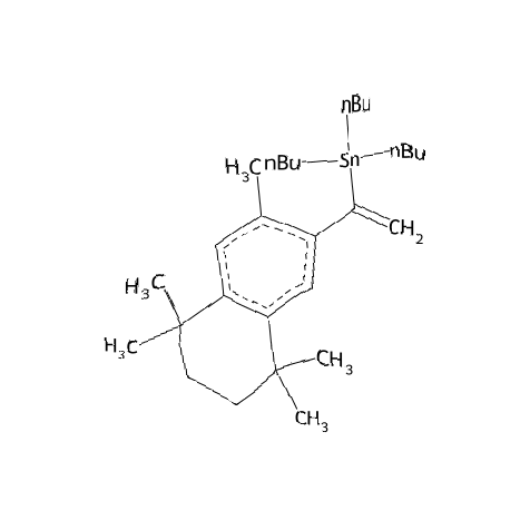 C=[C](c1cc2c(cc1C)C(C)(C)CCC2(C)C)[Sn]([CH2]CCC)([CH2]CCC)[CH2]CCC